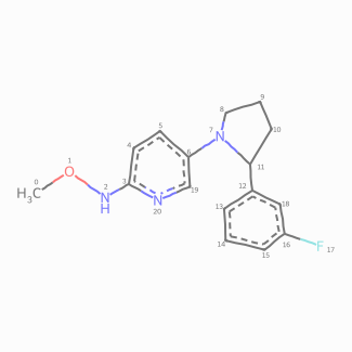 CONc1ccc(N2CCCC2c2cccc(F)c2)cn1